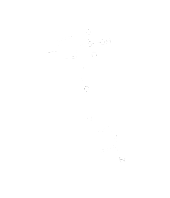 Cc1ccc(S(=O)(=O)O)c(CCOCCOc2ccc(Br)cc2)c1